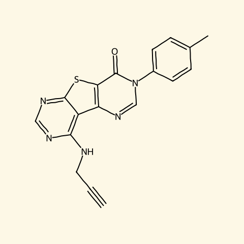 C#CCNc1ncnc2sc3c(=O)n(-c4ccc(C)cc4)cnc3c12